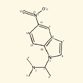 CC(N(C)C)n1ccc2cc([N+](=O)[O-])ccc21